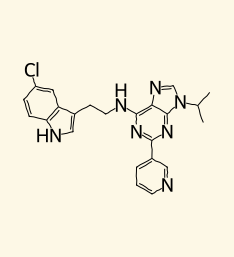 CC(C)n1cnc2c(NCCc3c[nH]c4ccc(Cl)cc34)nc(-c3cccnc3)nc21